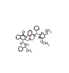 CC[C@H](NC(=O)c1c(CN2CCN(C(c3ccccc3)c3nc(OC)cc(OC)n3)CC2)n(-c2ccccc2)c(=O)c2ccccc12)c1ccccc1